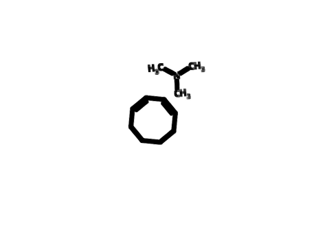 C1=CCCCCC=C1.CN(C)C